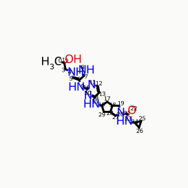 CC(O)CN/C=C(\C=N)Nc1nccc(NC2CC3CN(C(=O)NC4CC4)CC3C2)n1